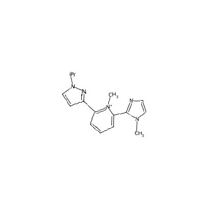 CC(C)n1ccc(-c2cccc(-c3nccn3C)[n+]2C)n1